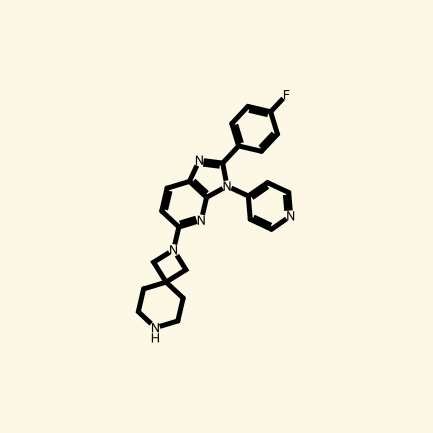 Fc1ccc(-c2nc3ccc(N4CC5(CCNCC5)C4)nc3n2-c2ccncc2)cc1